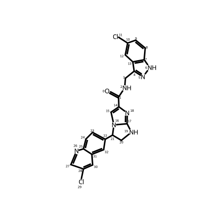 O=C(NCc1n[nH]c2ccc(Cl)cc12)c1cn2c(n1)NCC2c1ccc2ncc(Cl)cc2c1